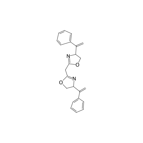 C=C(c1ccccc1)C1COC(CC2=NC(C(=C)c3ccccc3)CO2)=N1